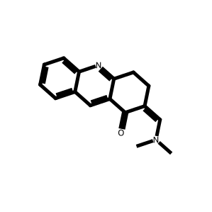 CN(C)/C=C1/CCc2nc3ccccc3cc2C1=O